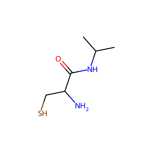 CC(C)NC(=O)C(N)CS